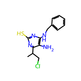 CC(CCl)c1nc(S)nc(NCc2ccccc2)c1N